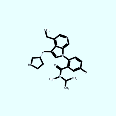 CCc1cncc2c1c(C[C@@H]1CCNC1)cn2-c1ccc(F)cc1C(=O)N(C)C(C)C